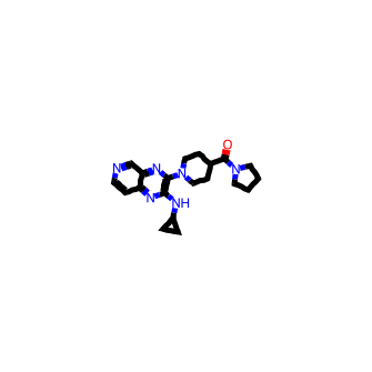 O=C(C1CCN(c2nc3cnccc3nc2NC2CC2)CC1)N1CCCC1